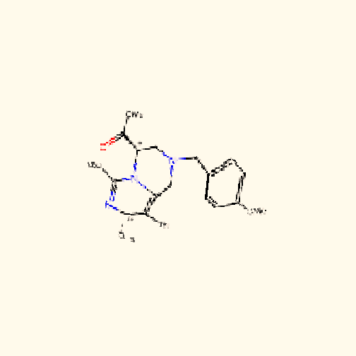 COC(=O)[C@H]1CN(Cc2ccc(OC)cc2)CC2=C(C(C)(C)C)[C@H](C)N=C(C(C)(C)C)N21